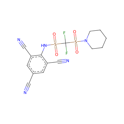 N#Cc1cc(C#N)c(NS(=O)(=O)C(F)(F)S(=O)(=O)N2CCCCC2)c(C#N)c1